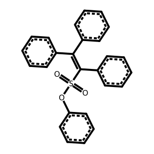 O=S(=O)(Oc1ccccc1)C(=C(c1ccccc1)c1ccccc1)c1ccccc1